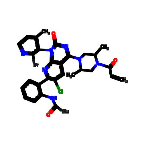 C=CC(=O)N1CC(C)N(c2nc(=O)n(-c3c(C)ccnc3C(C)C)c3nc(-c4ccccc4NC(=O)C(C)(C)C)c(Cl)cc23)CC1C